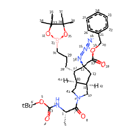 C[C@H](NC(=O)OC(C)(C)C)C(=O)N1C[C@@H]2C[C@@](N=[N+]=[N-])(C(=O)OCc3ccccc3)[C@@H](CCCB3OC(C)(C)C(C)(C)O3)[C@@H]2C1